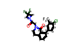 O=C(Cn1ccc2cccc(-c3ccc(Cl)c(C(F)(F)F)c3)c2c1=O)N1CC(F)(F)C1